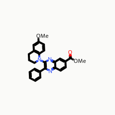 COC(=O)c1ccc2nc(-c3ccccc3)c(N3CCCc4cc(OC)ccc43)nc2c1